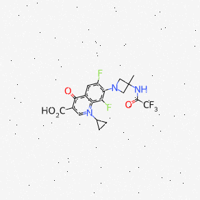 CC1(NC(=O)C(F)(F)F)CN(c2c(F)cc3c(=O)c(C(=O)O)cn(C4CC4)c3c2F)C1